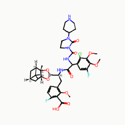 COc1c(F)cc(C(NC(=O)N2CCN(C3CCNCC3)C2=O)C(=O)N[C@@H](Cc2ccc(F)c(C(=O)O)c2OC)B2O[C@@H]3C[C@@H]4C[C@@H](C4(C)C)[C@]3(C)O2)c(Cl)c1OC